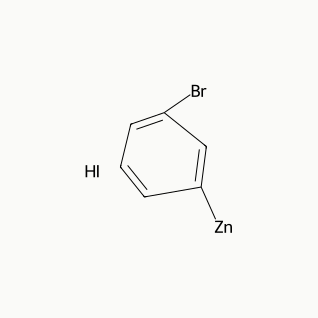 I.[Zn][c]1cccc(Br)c1